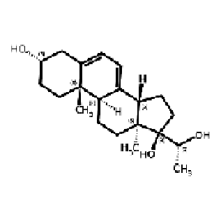 C[C@@H](O)[C@@]1(O)CC[C@H]2C3=CC=C4C[C@@H](O)CC[C@@]4(C)[C@@H]3CC[C@@]21C